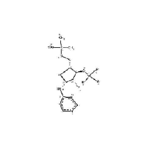 CC(C)[Si](O[C@@H]1[C@@H](CO[Si](C)(C)C(C)(C)C)C[C@@H](Nc2[c]cncn2)[C@H]1F)(C(C)C)C(C)C